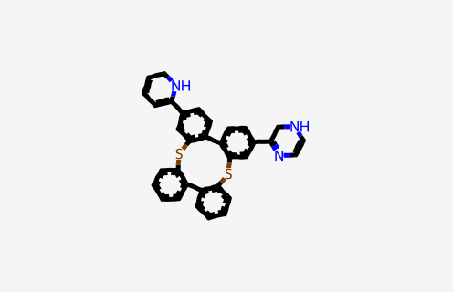 C1=CCNC(c2ccc3c(c2)Sc2ccccc2-c2ccccc2Sc2cc(C4=NC=CNC4)ccc2-3)=C1